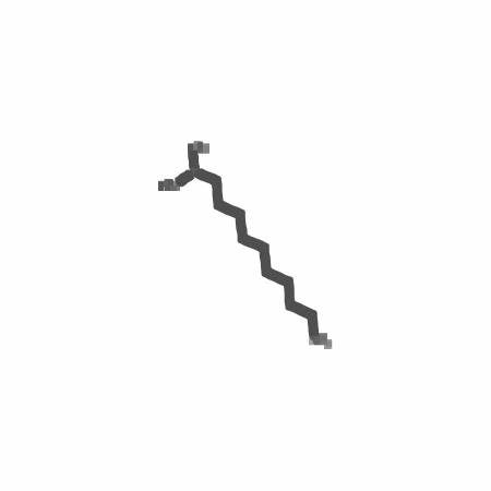 CCCCN(CCCC)CCCCCCCCCN